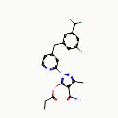 CCC(=O)Oc1c(C(N)=O)c(C)nn1-c1cc(Cc2cc(F)cc(C(F)F)c2)ccn1